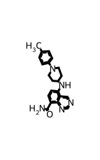 Cc1ccc(N2CCC(Nc3ccc(C(N)=O)c4ncncc34)CC2)cc1